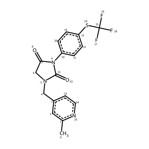 Cc1cc(CN2CC(=O)N(c3ccc(SC(F)(F)F)cc3)C2=O)ccn1